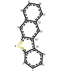 [c]1ccc2sc3cc4ccccc4cc3c2c1